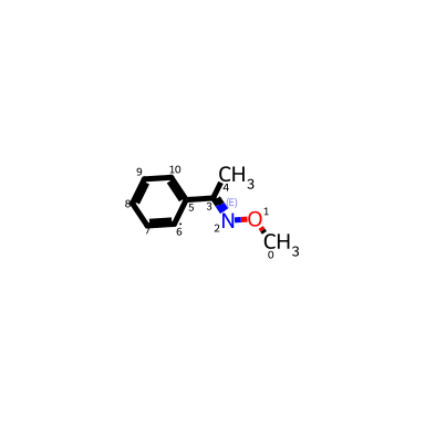 CO/N=C(\C)c1[c]cccc1